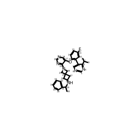 CC(C)c1ncncc1-c1cc(F)ccc1Oc1cncnc1N1CC2(CC(NC(C)c3ccccc3)C2)C1